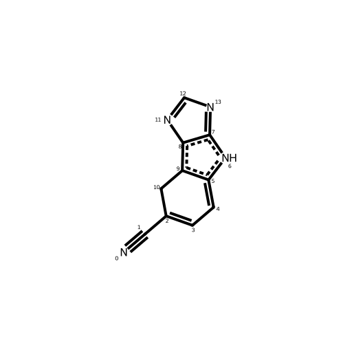 N#CC1=CC=c2[nH]c3c(c2C1)N=CN=3